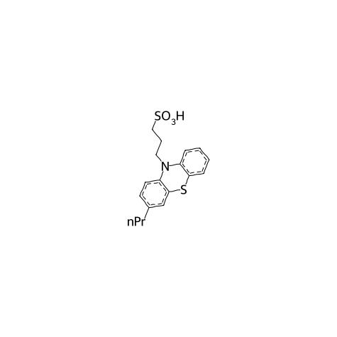 CCCc1ccc2c(c1)Sc1ccccc1N2CCCS(=O)(=O)O